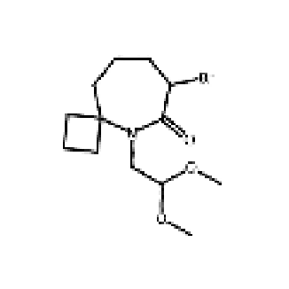 COC(CN1C(=O)C(Br)CCCC12CCC2)OC